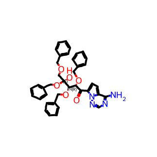 Nc1ncnn2c(C(=O)[C@H](OCc3ccccc3)[C@H](OCc3ccccc3)[C@](O)(COCc3ccccc3)OCc3ccccc3)ccc12